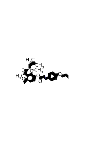 CO[C@@H]1[C@H](OC(=O)/C=C/c2ccc(OCCI)cc2)CC[C@]2(CO2)[C@H]1[C@@]1(C)O[C@@H]1CC=C(C)C